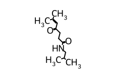 CC(C)=CC(=O)CCC(=O)NCC(C)C